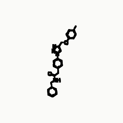 Cc1ccc(OCc2cn(-c3ccc(CC(=O)NCc4ccccc4)cc3)nn2)cc1